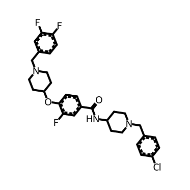 O=C(NC1CCN(Cc2ccc(Cl)cc2)CC1)c1ccc(OC2CCN(Cc3ccc(F)c(F)c3)CC2)c(F)c1